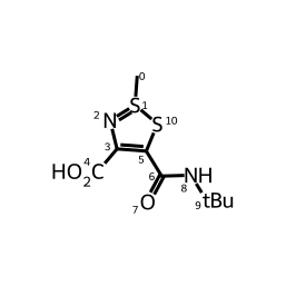 CS1=NC(C(=O)O)=C(C(=O)NC(C)(C)C)S1